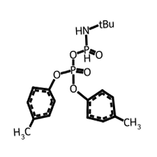 Cc1ccc(OP(=O)(Oc2ccc(C)cc2)O[PH](=O)NC(C)(C)C)cc1